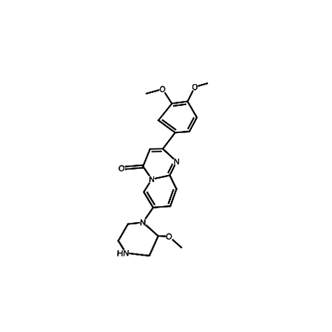 COc1ccc(-c2cc(=O)n3cc(N4CCNCC4OC)ccc3n2)cc1OC